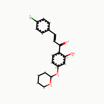 O=C(/C=C/c1ccc(Cl)cc1)c1ccc(OC2CCCCO2)cc1O